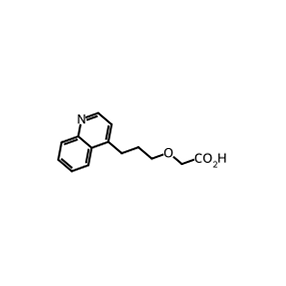 O=C(O)COCCCc1ccnc2ccccc12